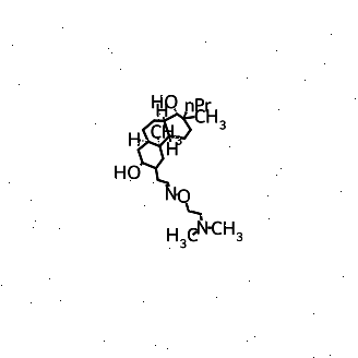 CCC[C@@]1(C)CC[C@H]2[C@@H](CC[C@@H]3C[C@@H](O)C(C/C=N/OCCN(C)C)C[C@@]32C)[C@@H]1O